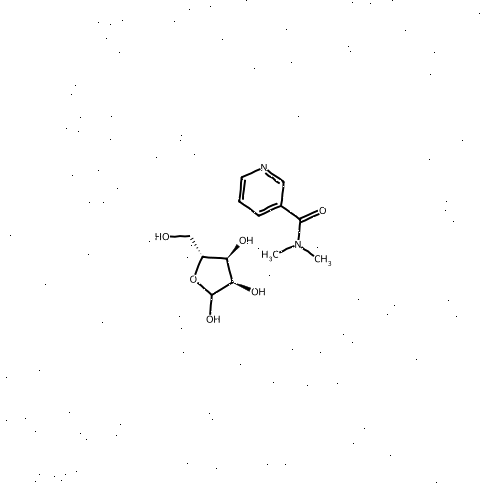 CN(C)C(=O)c1cccnc1.OC[C@H]1OC(O)[C@H](O)[C@@H]1O